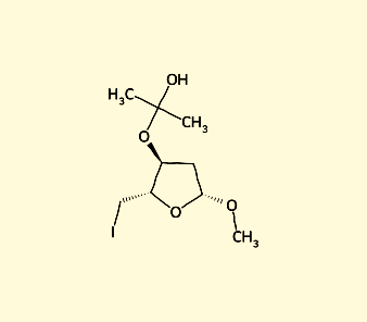 CO[C@H]1C[C@H](OC(C)(C)O)[C@@H](CI)O1